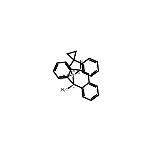 C[C@@]12c3ccccc3C[C@@H](c3ccccc31)[N@@+]2(C)CC1(c2ccccc2)CC1